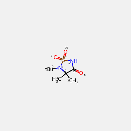 CC(C)(C)N1C(C)(C)C(=O)NS1(=O)=O